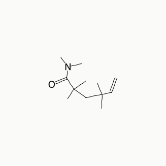 C=CC(C)(C)CC(C)(C)C(=O)N(C)C